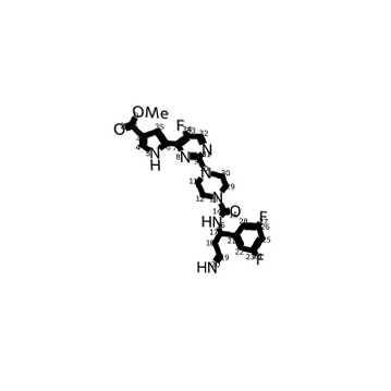 COC(=O)c1c[nH]c(-c2nc(N3CCN(C(=O)NC(CC=N)c4cc(F)cc(F)c4)CC3)ncc2F)c1